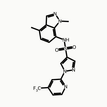 Cc1ccc(NS(=O)(=O)c2cnn(-c3cc(C(F)(F)F)ccn3)c2)c2c1cnn2C